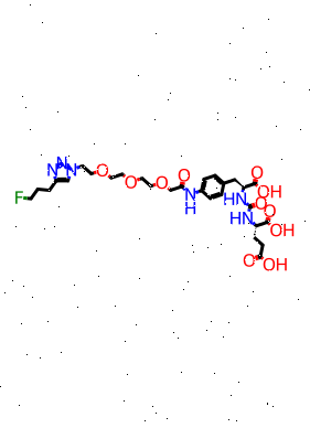 O=C(O)CC[C@H](NC(=O)N[C@@H](Cc1ccc(NC(=O)COCCOCCOCCn2cc(CCCF)nn2)cc1)C(=O)O)C(=O)O